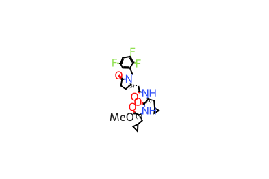 COC(=O)[C@H](CC1CC1)NC(=O)[C@H](CC1CC1)NC(=O)C[C@@H]1CCC(=O)N1Cc1cc(F)cc(F)c1F